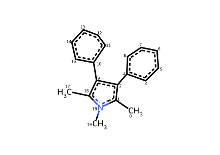 Cc1c(-c2ccccc2)c(-c2ccccc2)c(C)n1C